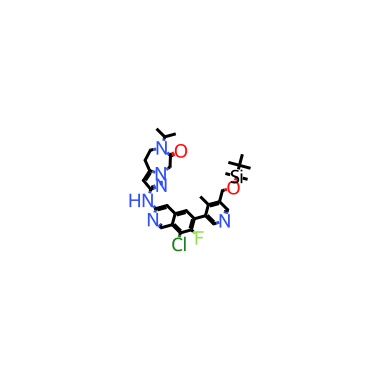 Cc1c(CO[Si](C)(C)C(C)(C)C)cncc1-c1cc2cc(Nc3cc4n(n3)CC(=O)N(C(C)C)CC4)ncc2c(Cl)c1F